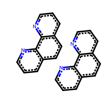 c1cnc2c(c1)ccc1cccnc12.c1cnc2c(c1)ccc1cccnc12